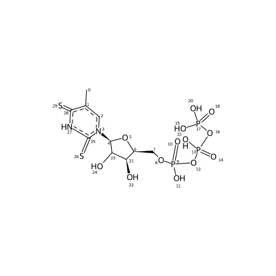 Cc1cn([C@H]2O[C@@H](COP(=O)(O)OP(=O)(O)OP(=O)(O)O)[C@@H](O)C2O)c(=S)[nH]c1=S